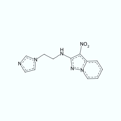 O=[N+]([O-])c1c(NCCn2ccnc2)nn2ccccc12